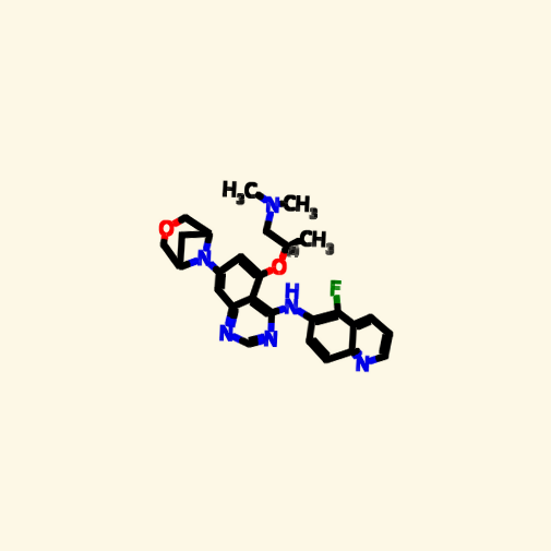 C[C@H](CN(C)C)Oc1cc(N2C3COCC2C3)cc2ncnc(Nc3ccc4ncccc4c3F)c12